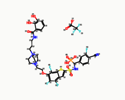 N#Cc1ccc(C(NS(=O)(=O)c2cc3c(F)c(F)c(OCC[N+]45CC[N+](CCCNC(=O)c6cccc(O)c6O)(CC4)CC5)c(F)c3s2)P(=O)([O-])O)cc1F.O=C([O-])C(F)(F)F